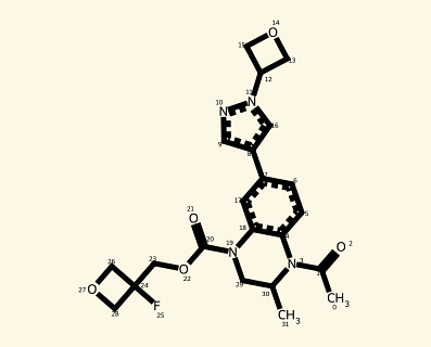 CC(=O)N1c2ccc(-c3cnn(C4COC4)c3)cc2N(C(=O)OCC2(F)COC2)CC1C